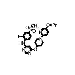 CC(C)Oc1ccc(N2CCC(Oc3cc(Nc4ccc(S(C)(=O)=O)cc4F)ncn3)CC2)nc1